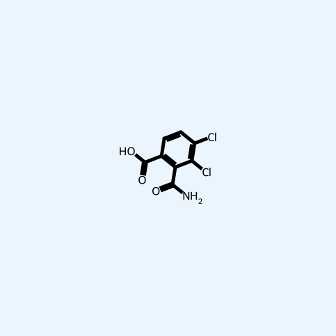 NC(=O)c1c(C(=O)O)ccc(Cl)c1Cl